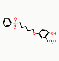 O=C(O)c1cc(OCCCCCS(=O)(=O)c2ccccc2)ccc1O